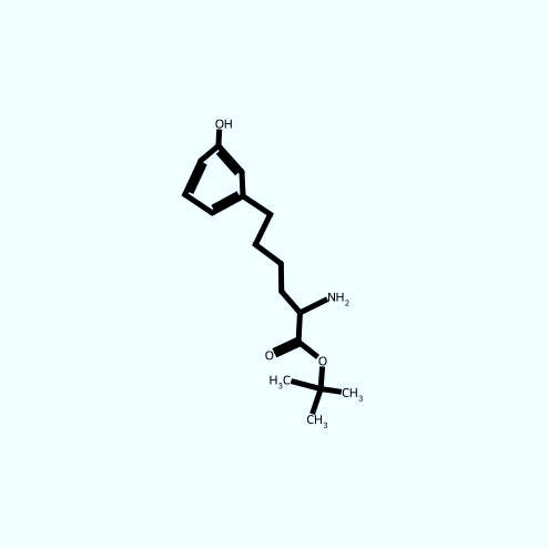 CC(C)(C)OC(=O)C(N)CCCCc1cccc(O)c1